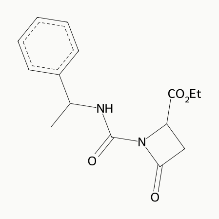 CCOC(=O)C1CC(=O)N1C(=O)NC(C)c1ccccc1